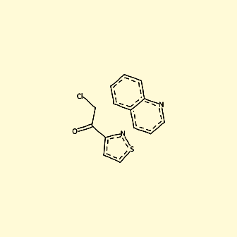 O=C(CCl)c1ccsn1.c1ccc2ncccc2c1